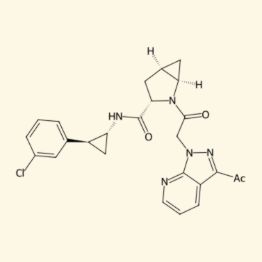 CC(=O)c1nn(CC(=O)N2[C@@H]3C[C@@H]3C[C@H]2C(=O)N[C@@H]2C[C@H]2c2cccc(Cl)c2)c2ncccc12